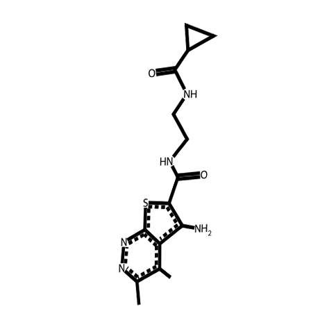 Cc1nnc2sc(C(=O)NCCNC(=O)C3CC3)c(N)c2c1C